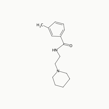 Cc1cccc(C(=O)NCCN2CCCCC2)c1